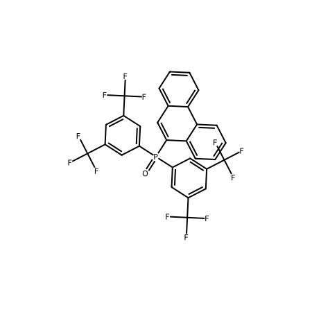 O=P(c1cc(C(F)(F)F)cc(C(F)(F)F)c1)(c1cc(C(F)(F)F)cc(C(F)(F)F)c1)c1cc2ccccc2c2ccccc12